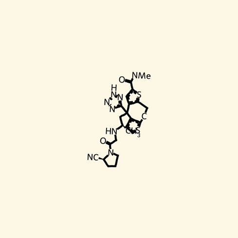 CNC(=O)c1cc2c(s1)CCc1sccc1C2(C[C@@H](C)NCC(=O)N1CCC[C@H]1C#N)c1nn[nH]n1